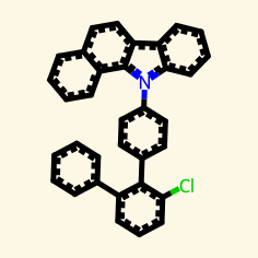 Clc1cccc(-c2ccccc2)c1-c1ccc(-n2c3ccccc3c3ccc4ccccc4c32)cc1